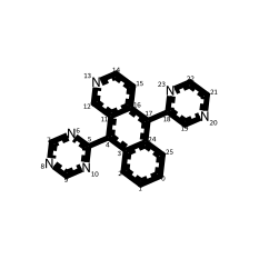 c1ccc2c(-c3ncncn3)c3cnccc3c(-c3cnccn3)c2c1